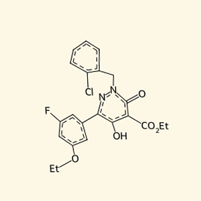 CCOC(=O)c1c(O)c(-c2cc(F)cc(OCC)c2)nn(Cc2ccccc2Cl)c1=O